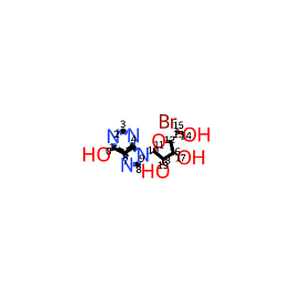 Oc1ncnc2c1ncn2[C@@H]1O[C@H](C(O)Br)[C@@H](O)[C@H]1O